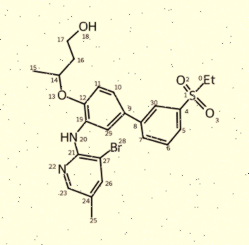 CCS(=O)(=O)c1cccc(-c2ccc(OC(C)CCO)c(Nc3ncc(C)cc3Br)c2)c1